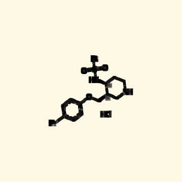 CCS(=O)(=O)N[C@H]1CCNC[C@H]1COc1ccc(C(C)C)cc1.Cl